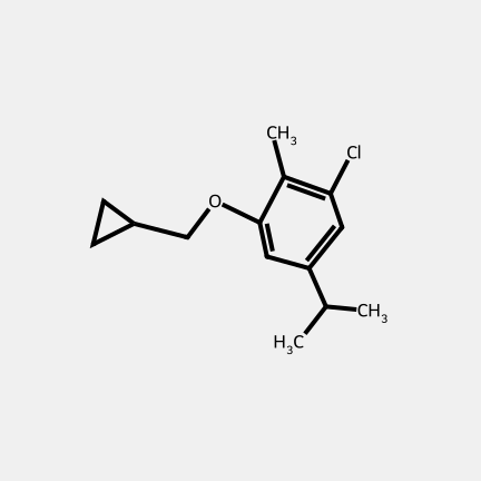 Cc1c(Cl)cc(C(C)C)cc1OCC1CC1